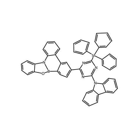 c1ccc([Si](c2ccccc2)(c2ccccc2)c2nc(-c3ccc4c(c3)-c3ccccc3N3B4Oc4ccccc43)nc(-n3c4ccccc4c4ccccc43)n2)cc1